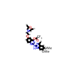 COc1cc2nc(Nc3nc(OC(=O)C(F)(F)F)c4cc(OCCN5CC(C)OC(C)C5)ccc4n3)nc(C)c2cc1OC